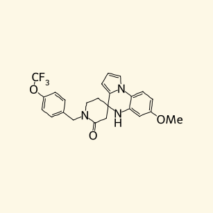 COc1ccc2c(c1)NC1(CCN(Cc3ccc(OC(F)(F)F)cc3)C(=O)C1)c1cccn1-2